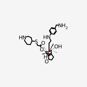 C[C@@H]1CC[C@@]23CCC(=O)[C@H]2[C@]1(C)[C@H](OC(=O)CSC1CCCNCC1)C[C@](C)(CCNc1ccc(CN)cc1)[C@@H](O)[C@@H]3C